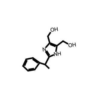 CC(c1ccccc1)c1nc(CO)c(CO)[nH]1